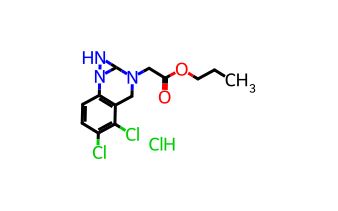 CCCOC(=O)CN1Cc2c(ccc(Cl)c2Cl)N2NC12.Cl